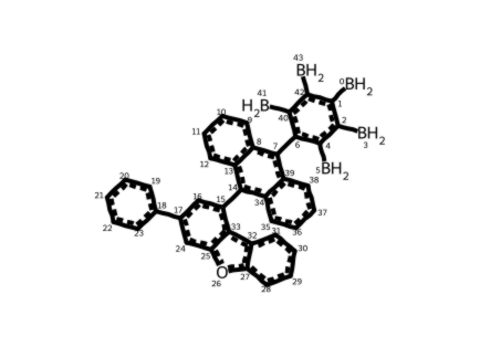 Bc1c(B)c(B)c(-c2c3ccccc3c(-c3cc(-c4ccccc4)cc4oc5ccccc5c34)c3ccccc23)c(B)c1B